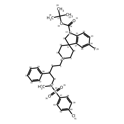 CN(CC(CCN1CCC2(CC1)CN(C(=O)OC(C)(C)C)c1ccc(F)cc12)c1ccccc1)S(=O)(=O)c1ccc(Cl)cc1